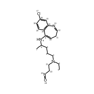 CCN(CCCC(C)NC1=CCC=Nc2cc(Cl)ccc21)CCN=O